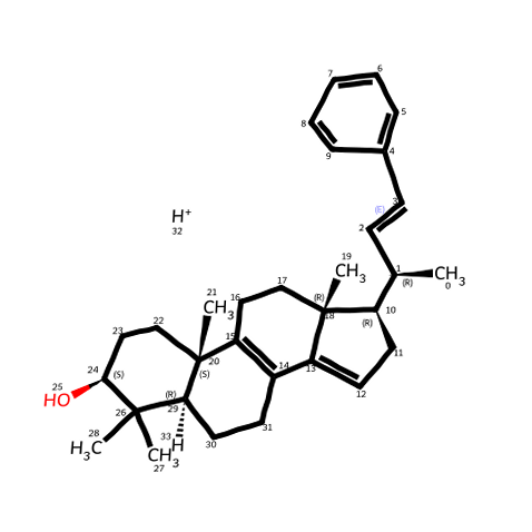 C[C@H](/C=C/c1ccccc1)[C@H]1CC=C2C3=C(CC[C@@]21C)[C@@]1(C)CC[C@H](O)C(C)(C)[C@@H]1CC3.[H+]